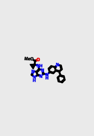 COC(=O)C1(Nc2nc(Nc3ccc4nccc(-c5ccccc5)c4c3)nc3[nH]cnc23)CC1